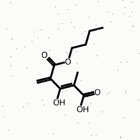 C=C(C(=O)OCCCC)C(O)=C(C)C(=O)O